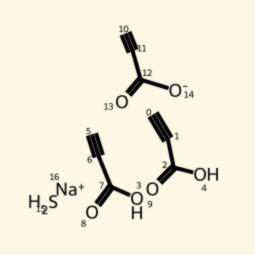 C#CC(=O)O.C#CC(=O)O.C#CC(=O)[O-].S.[Na+]